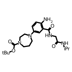 CC(C)NC(=O)CNC(=O)c1cc(N2CCCN(C(=O)OC(C)(C)C)CC2)ccc1N